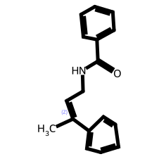 C/C(=C/CNC(=O)c1ccccc1)c1ccccc1